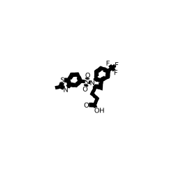 Cc1nc2cc(S(=O)(=O)n3c(CCC(=O)O)cc4cc(C(F)(F)F)ccc43)ccc2s1